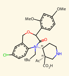 COc1ccc(C2OCc3cc(Cl)ccc3[N+](CC(C)(C)C)([C@@H]3CCNC[C@@]3(C(C)=O)C(=O)O)C2=O)c(OC)c1